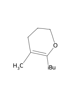 CCC(C)C1=C(C)CCCO1